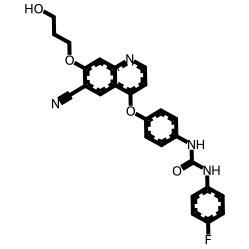 N#Cc1cc2c(Oc3ccc(NC(=O)Nc4ccc(F)cc4)cc3)ccnc2cc1OCCCO